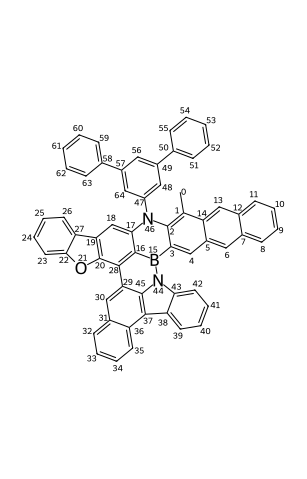 Cc1c2c(cc3cc4ccccc4cc13)B1c3c(cc4c(oc5ccccc54)c3-c3cc4ccccc4c4c5ccccc5n1c34)N2c1cc(-c2ccccc2)cc(-c2ccccc2)c1